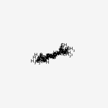 COC[C@H]1C[C@@H](c2ncc(-c3ccc4c(c3)OCc3cc5c(ccc6nc([C@@H]7CC[C@H](C)N7C(=O)[C@@H](NC(=O)OC)[C@@H](C)OC)[nH]c65)cc3-4)[nH]2)N(C(=O)[C@@H](NC(=O)OC)C(C)C)C1